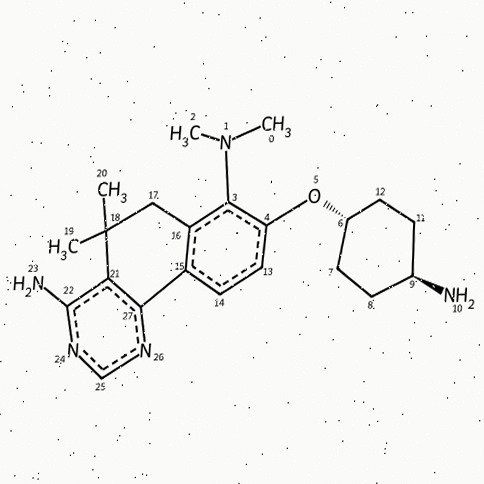 CN(C)c1c(O[C@H]2CC[C@H](N)CC2)ccc2c1CC(C)(C)c1c(N)ncnc1-2